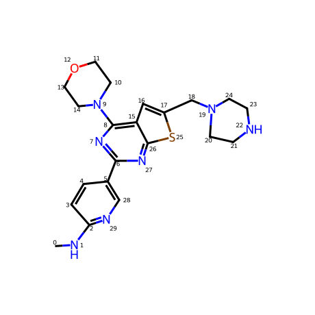 CNc1ccc(-c2nc(N3CCOCC3)c3cc(CN4CCNCC4)sc3n2)cn1